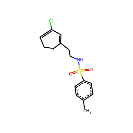 Cc1ccc(S(=O)(=O)NCCC2=CC(Cl)=CC[CH]2)cc1